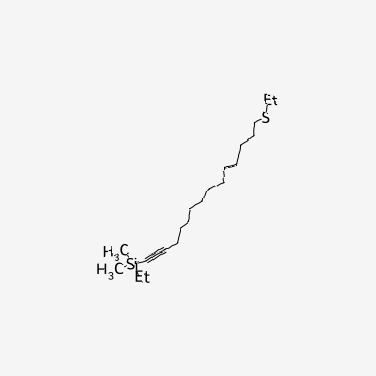 CCSCCCCCCCCCCCCC#C[Si](C)(C)CC